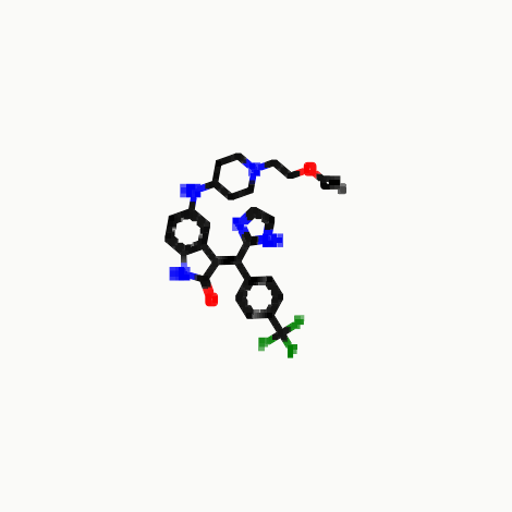 COCCN1CCC(Nc2ccc3c(c2)C(=C(c2ccc(C(F)(F)F)cc2)c2ncc[nH]2)C(=O)N3)CC1